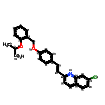 CC(Oc1ccccc1COc1ccc(C=Cc2ccc3ccc(Cl)cc3n2)cc1)C(=O)O